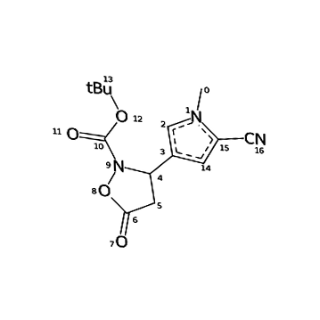 Cn1cc(C2CC(=O)ON2C(=O)OC(C)(C)C)cc1C#N